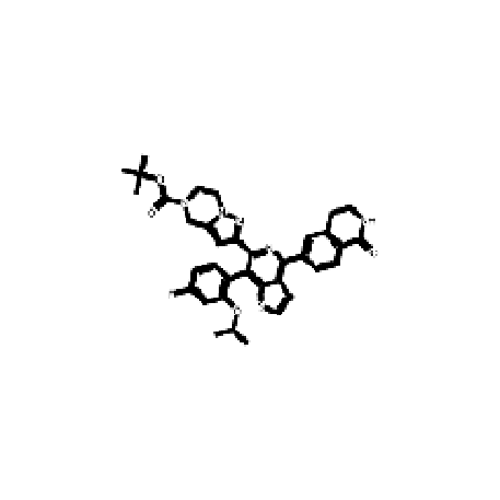 CC(C)Oc1cc(F)ccc1-c1c(-c2cc3n(n2)CCN(C(=O)OC(C)(C)C)C3)nc(-c2ccc3c(c2)CCNC3=O)c2ccsc12